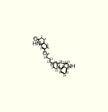 O=C1CCc2ccc(OCCCCN3CCN4c5cccc6[nH]cc(c56)CC4C3)cc2N1